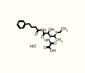 CCSC(C)[C@H](NC(=O)C(=O)O)C(O)C(=O)NC(=O)CCCc1ccccc1.Cl